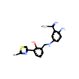 CC(C)c1nc(-c2cccc(CNc3ccc(N)c(C(=N)C(=O)O)c3)c2O)cs1